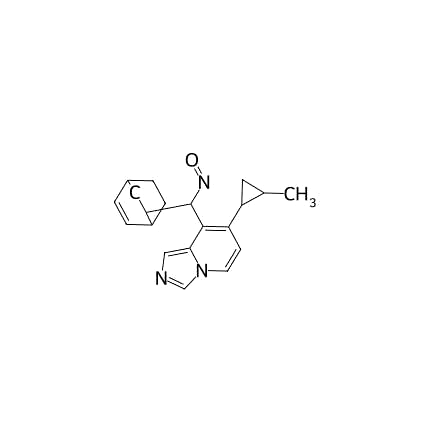 CC1CC1c1ccn2cncc2c1C(N=O)C1CC2C=CC1CC2